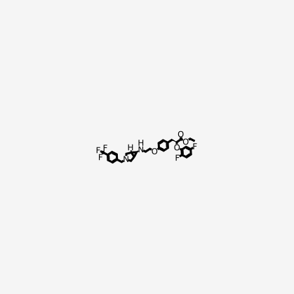 CCOC(=O)[C@H](Cc1ccc(OCCN[C@H]2C3CN(Cc4ccc(C(F)(F)F)cc4)C[C@@H]32)cc1)Oc1cc(F)ccc1F